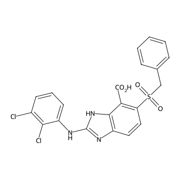 O=C(O)c1c(S(=O)(=O)Cc2ccccc2)ccc2nc(Nc3cccc(Cl)c3Cl)[nH]c12